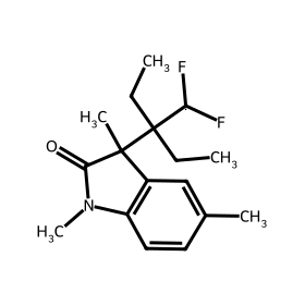 CCC(CC)([C](F)F)C1(C)C(=O)N(C)c2ccc(C)cc21